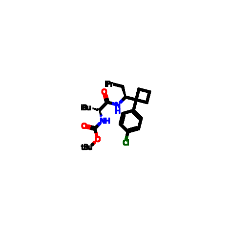 CC[C@@H](C)[C@@H](NC(=O)OC(C)(C)C)C(=O)N[C@@H](CC(C)C)C1(c2ccc(Cl)cc2)CCC1